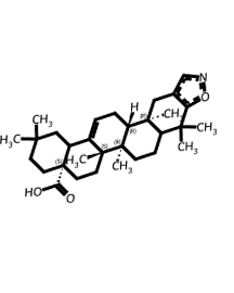 CC1(C)CC[C@]2(C(=O)O)CC[C@]3(C)C(=CC[C@@H]4[C@@]5(C)Cc6cnoc6C(C)(C)C5CC[C@]43C)C2C1